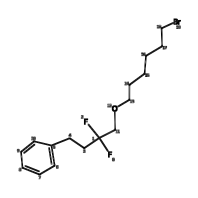 FC(F)(CCc1ccccc1)COCCCCCCBr